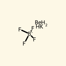 F[B-](F)(F)F.[BeH2].[KH]